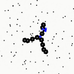 c1ccc2cc(-c3ccc(-c4ccc5c(c4)c4cc(-c6ccc(-c7ccc8ccccc8c7)cc6)ccc4n5-c4ccc(-c5nnc6c7ccccc7ccn56)cc4)cc3)ccc2c1